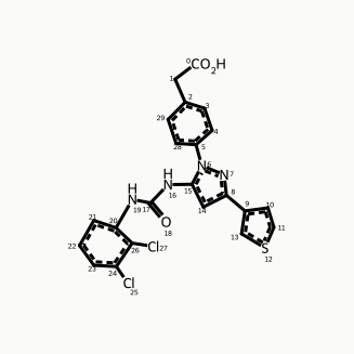 O=C(O)Cc1ccc(-n2nc(-c3ccsc3)cc2NC(=O)Nc2cccc(Cl)c2Cl)cc1